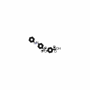 O=S(=O)(O)c1ccc(OS(=O)(=O)c2ccc(/N=N/c3ccccc3)cc2)cc1